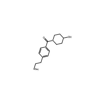 CCCCCCCCCCCCc1ccc(C(=O)N2CCC(O)CC2)cc1